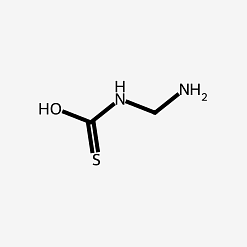 NCNC(O)=S